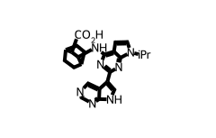 CC(C)n1ccc2c(NC3C4CCC(CC4)C3C(=O)O)nc(-c3c[nH]c4ncncc34)nc21